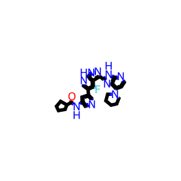 O=C(Nc1cncc(-c2cnc3[nH]nc(-c4nc5c(N6CCCCC6)ccnc5[nH]4)c3c2F)c1)C1CCCC1